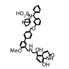 COc1ccc(-c2ccc(COc3cccc([C@H](c4ccccc4)N(C(=O)O)C4CN5CCC4CC5)c3)cc2)cc1CNCC(O)c1ccc(O)c2[nH]c(=O)ccc12